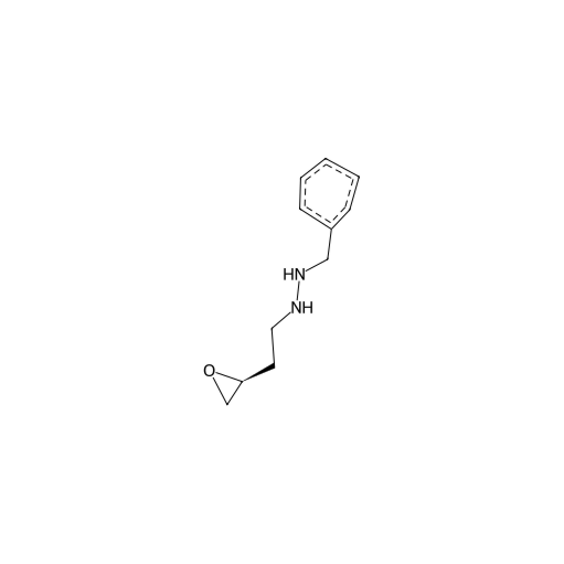 c1ccc(CNNCC[C@H]2CO2)cc1